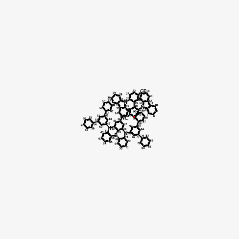 N#Cc1ccc(-n2c3ccccc3c3ccccc32)c(-c2cc(C(F)(F)F)ccc2-n2c3ccccc3c3cc(-c4cc5c6c(c4)N(c4cc(-c7ccccc7)cc(-c7ccccc7)c4)c4ccccc4B6c4ccccc4N5c4cc(-c5ccccc5)cc(-c5ccccc5)c4)ccc32)c1